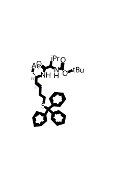 CC(=O)C[C@@H](/C=C/CCSC(c1ccccc1)(c1ccccc1)c1ccccc1)NC(=O)C(NC(=O)OC(C)(C)C)C(C)C